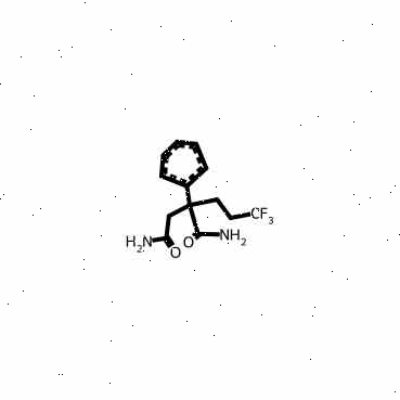 NC(=O)CC(CCC(F)(F)F)(C(N)=O)c1ccccc1